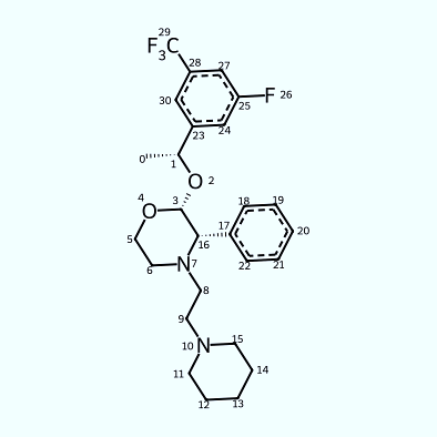 C[C@@H](O[C@H]1OCCN(CCN2CCCCC2)[C@H]1c1ccccc1)c1cc(F)cc(C(F)(F)F)c1